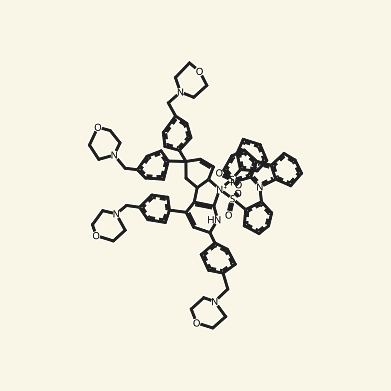 O=S(=O)(c1ccccc1)[N+]1(S(=O)(=O)c2ccccc2-n2c3ccccc3c3cccnc32)C2=C(C(c3ccc(CN4CCOCC4)cc3)=CC(c3ccc(CN4CCOCC4)cc3)N2)C2CC(c3ccc(CN4CCOCC4)cc3)(c3ccc(CN4CCOCC4)cc3)C=CC21